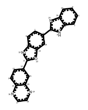 c1ccc2[nH]c(-c3ccc4nc(-c5ccc6nccnc6c5)oc4c3)nc2c1